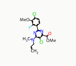 C=CCN(C)c1nc(-c2ccc(Cl)c(OC)c2F)nc(C(=O)OC)c1Cl